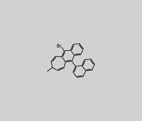 CC1C=Cc2c(c(-c3cccc4ccccc34)c3ccccc3c2Br)C=C1